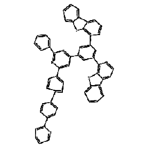 c1ccc(-c2nc(-c3ccc(-c4ccc(-c5ccccn5)cc4)cc3)cc(-c3cc(-c4cccc5c4sc4ccccc45)cc(-c4cccc5c4sc4ccccc45)c3)n2)cc1